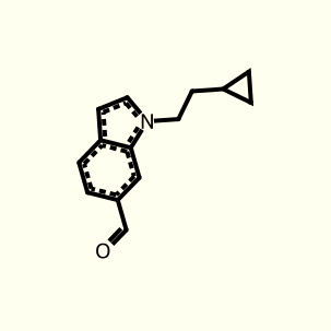 O=Cc1ccc2ccn(CCC3CC3)c2c1